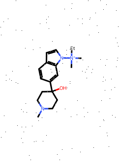 CC[N+](C)(C)n1ccc2ccc(C3(O)CCN(C)CC3)cc21